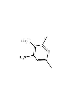 Cc1cc(N)c(C(=O)O)c(C)n1